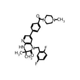 CN1CCN(C(=O)c2ccc(-c3cnc4c(c3)N(Cc3cc(F)ccc3F)C(=O)C(C)(C)N4)cc2)CC1